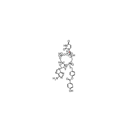 Nc1ncnc2c1ncn2C1O[C@@H]2COP(=O)(O)O[C@H]3C(n4ccc(=O)[nH]c4=O)O[C@H](COP(=O)(SCc4ccc(OC(=O)c5ccc(O)cc5)cc4)O[C@H]2C1F)[C@H]3F